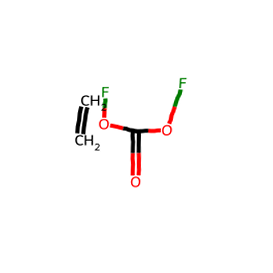 C=C.O=C(OF)OF